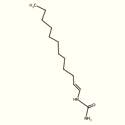 CCCCCCCCCCC=CNC(N)=O